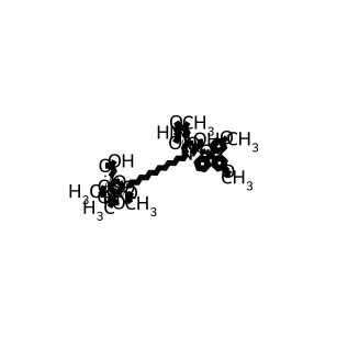 COc1ccc(C(OC[C@]2(CO)CN(CCCCCCCCCCCCO[C@@H]3O[C@H]([CH]CC(=O)O)[C@@H](OC(C)=O)[C@H](OC(C)=O)[C@H]3NC(C)=O)C[C@H](n3cc(C)c(=O)[nH]c3=O)O2)(c2ccccc2)c2ccc(OC)cc2)cc1